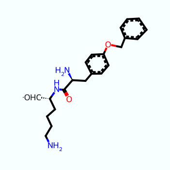 NCCCC[C@H]([C]=O)NC(=O)[C@@H](N)Cc1ccc(OCc2ccccc2)cc1